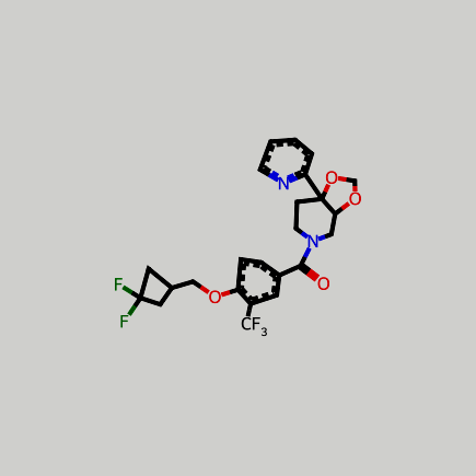 O=C(c1ccc(OCC2CC(F)(F)C2)c(C(F)(F)F)c1)N1CCC2(c3ccccn3)OCOC2C1